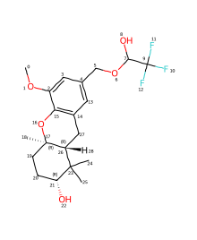 COc1cc(COC(O)C(F)(F)F)cc2c1O[C@]1(C)CC[C@@H](O)C(C)(C)[C@H]1C2